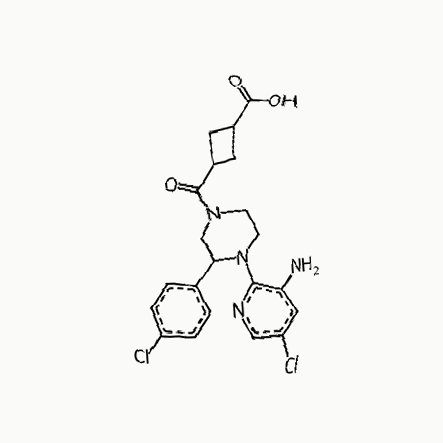 Nc1cc(Cl)cnc1N1CCN(C(=O)C2CC(C(=O)O)C2)CC1c1ccc(Cl)cc1